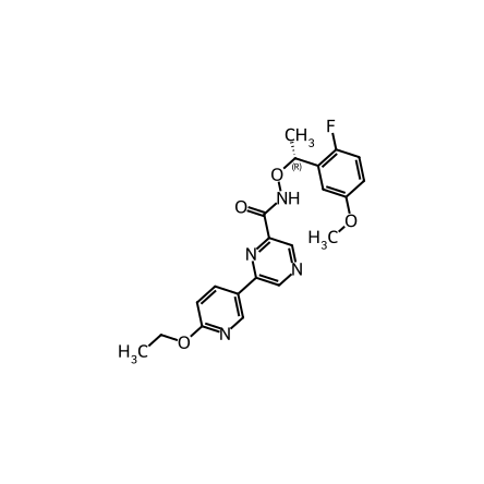 CCOc1ccc(-c2cncc(C(=O)NO[C@H](C)c3cc(OC)ccc3F)n2)cn1